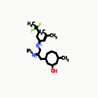 CC(C)=C/C(CCC(C)(F)F)=N\C/C(CC1CCCC(C)CC(O)C1)=N\C(C)C